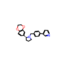 c1cncc(-c2ccc(CN3CCC[C@H]3c3ccc4c(c3)OCCO4)cc2)c1